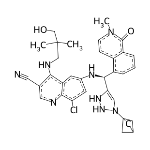 Cn1ccc2c([C@H](Nc3cc(Cl)c4ncc(C#N)c(NCC(C)(C)CO)c4c3)C3=CN(C45CC(C4)C5)NN3)cccc2c1=O